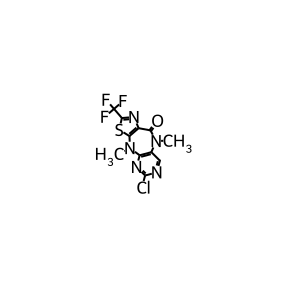 CN1C(=O)c2nc(C(F)(F)F)sc2N(C)c2nc(Cl)ncc21